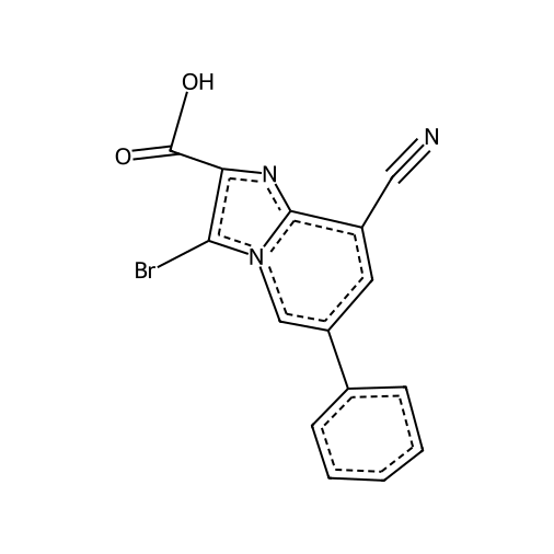 N#Cc1cc(-c2ccccc2)cn2c(Br)c(C(=O)O)nc12